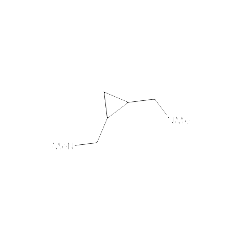 CNCC1CC1CNC